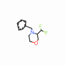 FC(F)C1COCCN1Cc1ccccc1